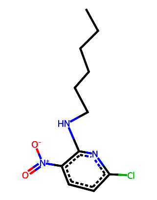 CCCCCCNc1nc(Cl)ccc1[N+](=O)[O-]